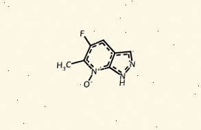 Cc1c(F)cc2[c]n[nH]c2[n+]1[O-]